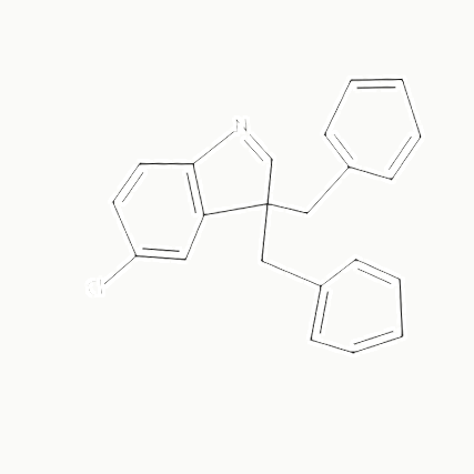 Clc1ccc2c(c1)C(Cc1ccccc1)(Cc1ccccc1)C=N2